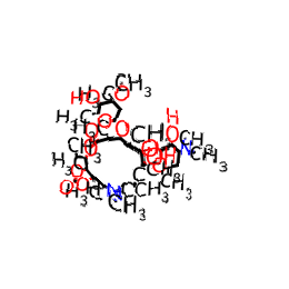 CC[C@H]1OC(=O)[C@H](C)[C@@H](O[C@H]2C[C@@](C)(OC)[C@@H](O)[C@H](C)O2)[C@H](C)[C@@H](O[C@@H]2O[C@H](C)C[C@H](N(C)C)[C@H]2O)[C@](C)(O)C[C@@H](C)CN(C)[C@H](C)[C@H]2OC(=O)O[C@@]21C